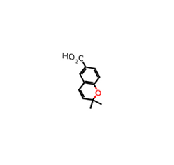 CC1(C)C=Cc2cc(C(=O)O)ccc2O1